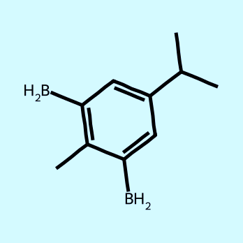 Bc1cc(C(C)C)cc(B)c1C